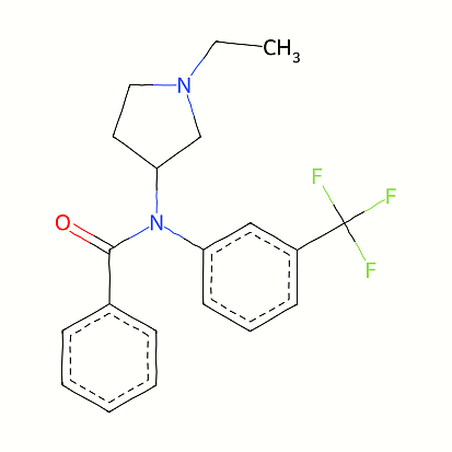 CCN1CCC(N(C(=O)c2ccccc2)c2cccc(C(F)(F)F)c2)C1